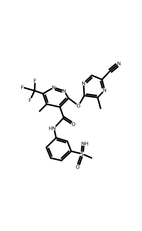 Cc1nc(C#N)cnc1Oc1nnc(C(F)(F)F)c(C)c1C(=O)Nc1cccc(S(C)(=N)=O)c1